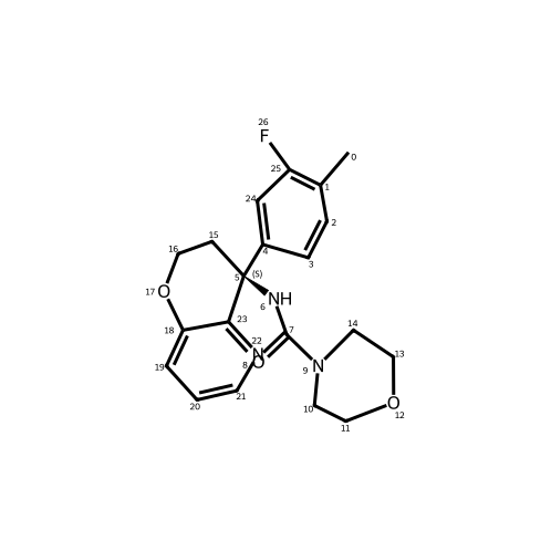 Cc1ccc([C@@]2(NC(=O)N3CCOCC3)CCOc3cccnc32)cc1F